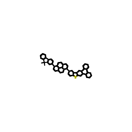 CC1(C)c2ccccc2-c2ccc(-c3ccc4ccc5c(-c6ccc7sc8cc9c%10ccccc%10c%10ccccc%10c9cc8c7c6)ccc6ccc3c4c65)cc21